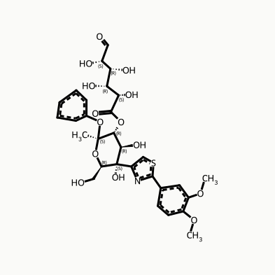 COc1ccc(-c2nc([C@]3(O)[C@H](O)[C@@H](OC(=O)[C@@H](O)[C@H](O)[C@@H](O)[C@H](O)C=O)[C@](C)(Oc4ccccc4)O[C@@H]3CO)cs2)cc1OC